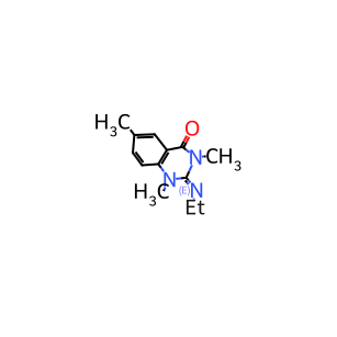 CC/N=c1/n(C)c(=O)c2cc(C)ccc2n1C